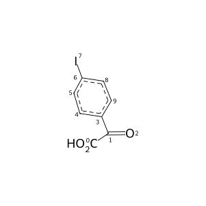 O=C(O)C(=O)c1ccc(I)cc1